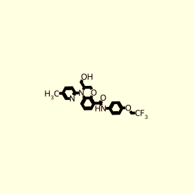 Cc1ccc(N2c3cccc(C(=O)Nc4ccc(OCC(F)(F)F)cc4)c3OCC2CO)nc1